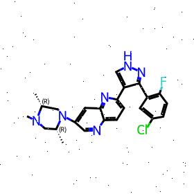 C[C@@H]1CN(c2cnc3ccc(-c4c[nH]nc4-c4cc(Cl)ccc4F)nc3c2)[C@H](C)CN1C